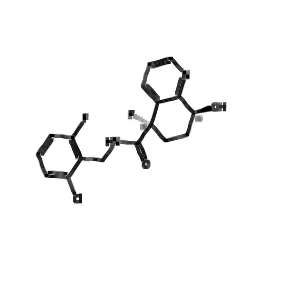 O=C(NCc1c(F)cccc1Cl)[C@]1(F)CC[C@H](O)c2ncccc21